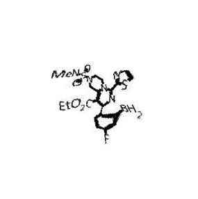 Bc1cc(F)ccc1[C@@H]1N=C(c2nccs2)N2CCN(S(=O)(=O)NC)CC2=C1C(=O)OCC